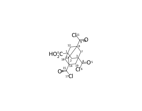 O=C(O)C12CC3(C(=O)Cl)CC(C(=O)Cl)(C1)CC(C(=O)Cl)(C2)C3